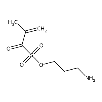 C=C(C)C(=O)S(=O)(=O)OCCCN